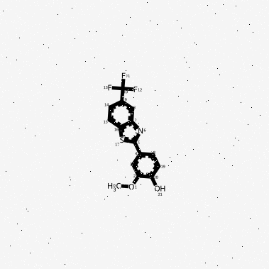 COc1cc(-c2nc3cc(C(F)(F)F)ccc3s2)ccc1O